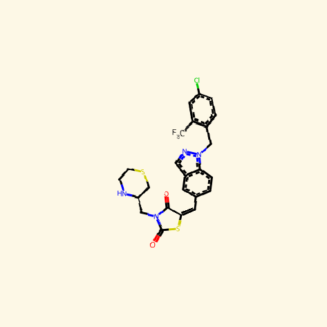 O=C1SC(=Cc2ccc3c(cnn3Cc3ccc(Cl)cc3C(F)(F)F)c2)C(=O)N1C[C@@H]1CSCCN1